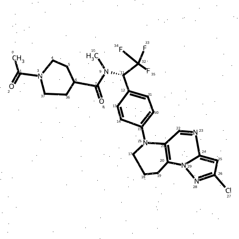 CC(=O)N1CCC(C(=O)N(C)[C@@H](c2ccc(N3CCCc4c3cnc3cc(Cl)nn43)cc2)C(F)(F)F)CC1